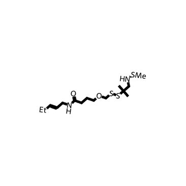 CC/C=C/CNC(=O)CCCOCSSC(C)(C)CNSC